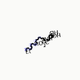 CC/C=C\C/C=C\C/C=C\C/C=C\C/C=C\C/C=C\CCC(=O)N[C@@H](Cc1ccc(O)c(O)c1)C(=O)O